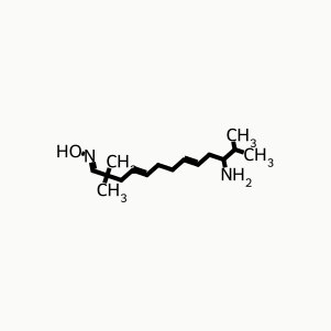 CC(C)C(N)CC=CCCC=CCC(C)(C)C=NO